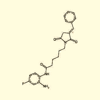 Nc1cc(F)ccc1NC(=O)CCCCCN1C(=O)C/C(=C\c2ccccc2)C1=O